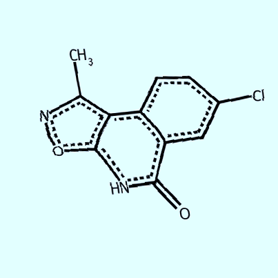 Cc1noc2[nH]c(=O)c3cc(Cl)ccc3c12